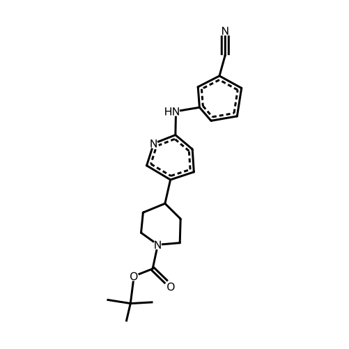 CC(C)(C)OC(=O)N1CCC(c2ccc(Nc3cccc(C#N)c3)nc2)CC1